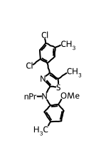 CCCN(c1nc(-c2cc(C)c(Cl)cc2Cl)c(C)s1)c1cc(C)ccc1OC